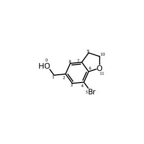 OCc1cc(Br)c2c(c1)CCO2